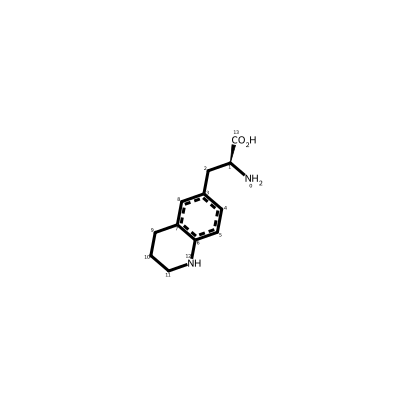 N[C@@H](Cc1ccc2c(c1)CCCN2)C(=O)O